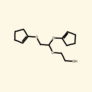 OCCOC(COC1=CCCC1)OC1=CCCC1